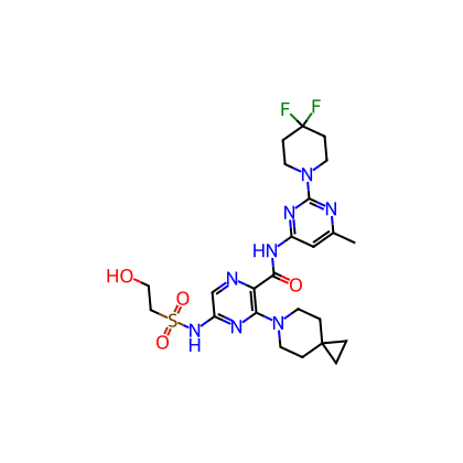 Cc1cc(NC(=O)c2ncc(NS(=O)(=O)CCO)nc2N2CCC3(CC2)CC3)nc(N2CCC(F)(F)CC2)n1